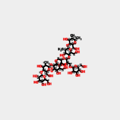 CC1C(O)[C@H](O[C@@H]2OC(CO)[C@H](O)C(O)[C@@H]2O)[C@H](CO)O[C@H]1O[C@@H]1C(O)[C@H](O)C(CO)O[C@@H]1OCC(O[C@@H](O[C@@H]1C(CO)O[C@@H](O[C@@H]2C(CO)O[C@@H](C)[C@@H](C)C2O)[C@@H](C)C1O)[C@H](O)CO[C@H]1O[C@H](CO)[C@@H](O)C(O)C1O)[C@H](C)O